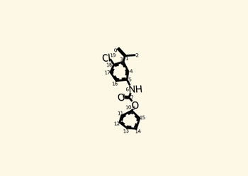 C=C(C)c1cc(NC(=O)Oc2ccccc2)ccc1Cl